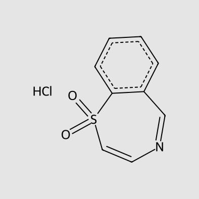 Cl.O=S1(=O)C=CN=Cc2ccccc21